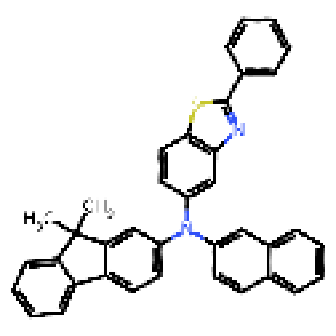 CC1(C)c2ccccc2-c2ccc(N(c3ccc4ccccc4c3)c3ccc4sc(-c5ccccc5)nc4c3)cc21